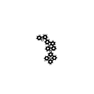 c1ccc([Si](c2ccccc2)(c2ccccc2)c2ccc(-n3c4ccccc4c4c(-n5c6ccccc6c6cc(-c7cccc8c7oc7ccccc78)ccc65)cccc43)cc2)cc1